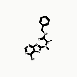 CCCc1ncnc2nc(N(C)[C@H](C)C(=O)NCc3ccccc3)sc12